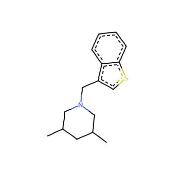 CC1CC(C)CN(Cc2csc3ccccc23)C1